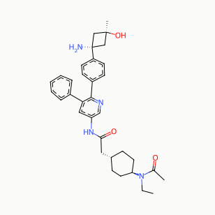 CCN(C(C)=O)[C@H]1CC[C@H](CC(=O)Nc2cnc(-c3ccc([C@]4(N)C[C@](C)(O)C4)cc3)c(-c3ccccc3)c2)CC1